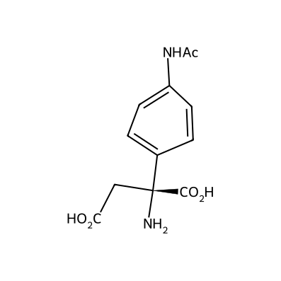 CC(=O)Nc1ccc([C@](N)(CC(=O)O)C(=O)O)cc1